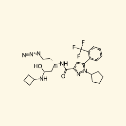 [N-]=[N+]=NCC[C@@H](CC(O)NC1CCC1)NC(=O)c1cc(-c2ccccc2C(F)(F)F)n(C2CCCC2)n1